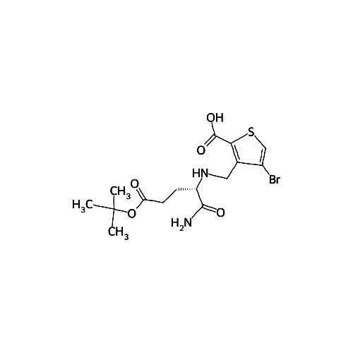 CC(C)(C)OC(=O)CC[C@H](NCc1c(Br)csc1C(=O)O)C(N)=O